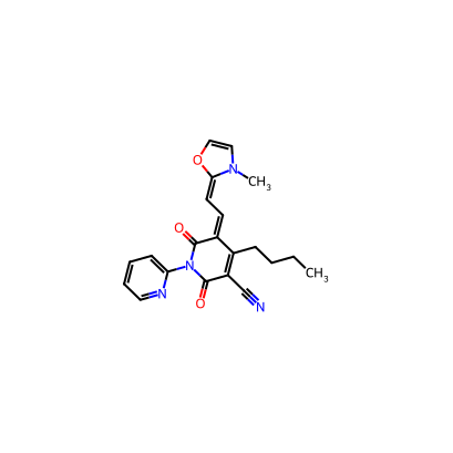 CCCCC1=C(C#N)C(=O)N(c2ccccn2)C(=O)C1=CC=C1OC=CN1C